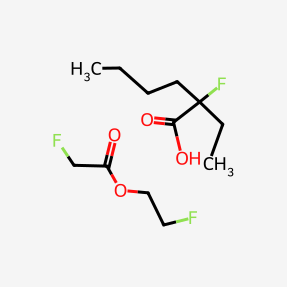 CCCCC(F)(CC)C(=O)O.O=C(CF)OCCF